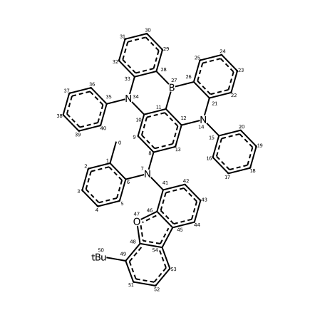 Cc1ccccc1N(c1cc2c3c(c1)N(c1ccccc1)c1ccccc1B3c1ccccc1N2c1ccccc1)c1cccc2c1oc1c(C(C)(C)C)cccc12